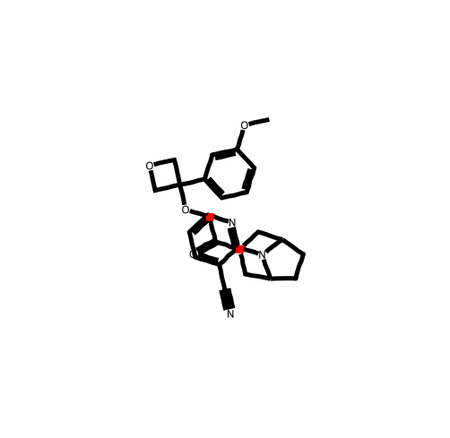 COc1cccc(C2(OCC(=O)N3CC4CCC(C3)N4c3ncccc3C#N)COC2)c1